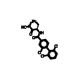 CC(C)C[C@H](NC(=O)c1ccc(-c2c(Cl)cccc2Cl)c(Cl)c1)C(=O)N(C)C#N